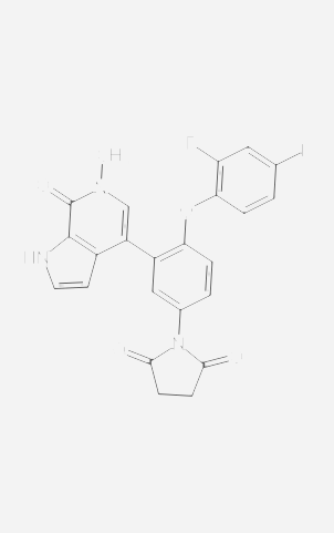 Cn1cc(-c2cc(N3C(=O)CCC3=O)ccc2Oc2ccc(F)cc2F)c2cc[nH]c2c1=O